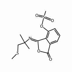 CSCC(C)(C)N=C1OC(=O)c2cccc(OS(C)(=O)=O)c21